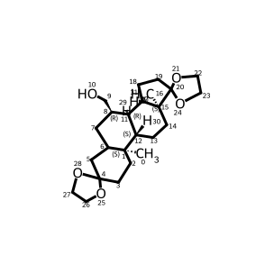 C[C@]12CCC3(CC1C[C@@H](CO)[C@@H]1[C@@H]2CC[C@@]2(C)[C@H]1CCC21OCCO1)OCCO3